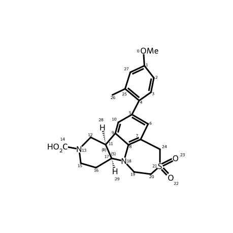 COc1ccc(-c2cc3c4c(c2)[C@@H]2CN(C(=O)O)CC[C@@H]2N4CCS(=O)(=O)C3)c(C)c1